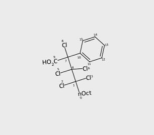 CCCCCCCCC(Cl)(Cl)C(Cl)(Cl)C(Cl)(C(=O)O)c1ccccc1